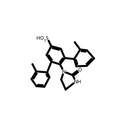 Cc1ccccc1-c1cc(S(=O)(=O)O)cc(-c2ccccc2C)c1N1CCNC1=O